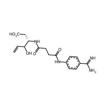 C=CC(O)[C@H](CC(=O)O)NC(=O)CCC(=O)Nc1ccc(C(=N)N)cc1